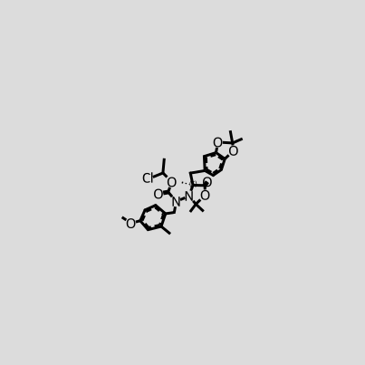 COc1ccc(CN(C(=O)OC(C)Cl)N2C(C)(C)OC(=O)[C@]2(C)Cc2ccc3c(c2)OC(C)(C)O3)c(C)c1